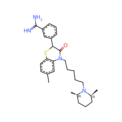 Cc1ccc2c(c1)N(CCCCCN1[C@H](C)CCC[C@@H]1C)C(=O)C(c1cccc(C(=N)N)c1)S2